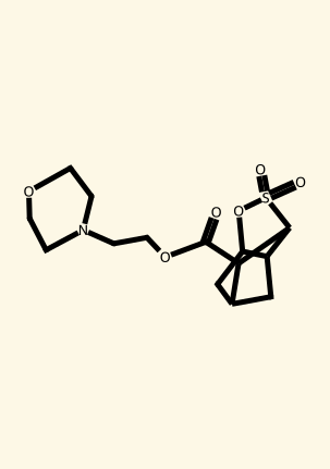 O=C(OCCN1CCOCC1)C1C2CC3OS(=O)(=O)C1C3C2